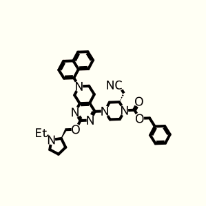 CCN1CCC[C@@H]1COc1nc2c(c(N3CCN(C(=O)OCc4ccccc4)[C@@H](CC#N)C3)n1)CCN(c1cccc3ccccc13)C2